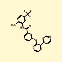 Cc1ccc(C(F)(F)F)cc1NC(=O)c1cccc(Oc2ncccc2-c2ccncn2)c1